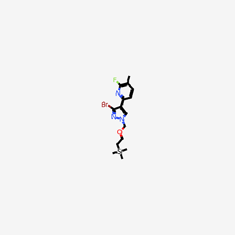 Cc1ccc(-c2cn(COCC[Si](C)(C)C)nc2Br)nc1F